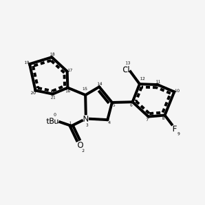 CC(C)(C)C(=O)N1CC(c2cc(F)ccc2Cl)=CC1c1ccccc1